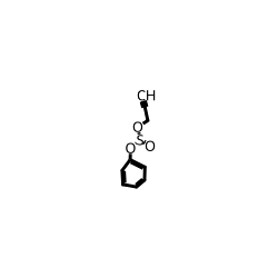 C#CCOS(=O)Oc1ccccc1